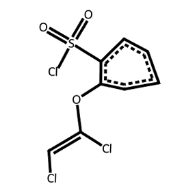 O=S(=O)(Cl)c1ccccc1OC(Cl)=CCl